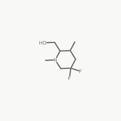 CC1CC(F)(F)CN(C)C1CO